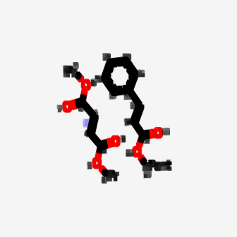 CC(C)OC(=O)/C=C/C(=O)OC(C)C.CCCCCOC(=O)C=Cc1ccccc1